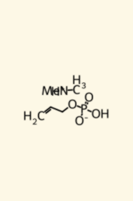 C=CCOP(=O)([O-])O.CNC.[H+]